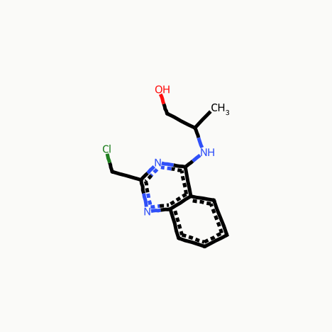 CC(CO)Nc1nc(CCl)nc2ccccc12